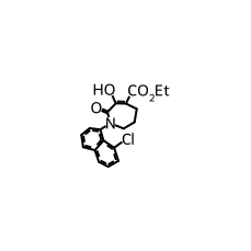 CCOC(=O)C1=C(O)C(=O)N(c2cccc3cccc(Cl)c23)CCC1